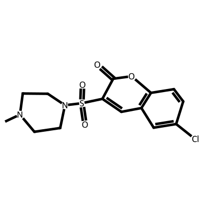 CN1CCN(S(=O)(=O)c2cc3cc(Cl)ccc3oc2=O)CC1